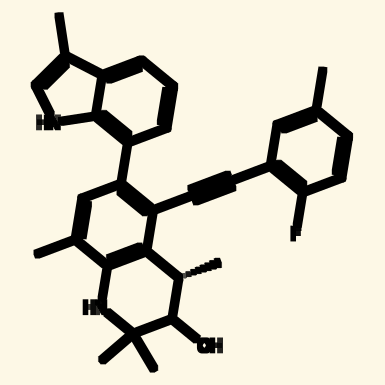 Cc1ccc(F)c(C#Cc2c(-c3cccc4c(C)c[nH]c34)cc(C)c3c2[C@H](C)C(O)C(C)(C)N3)c1